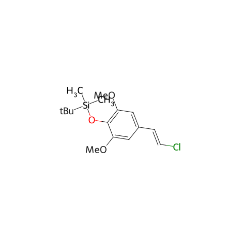 COc1cc(C=CCl)cc(OC)c1O[Si](C)(C)C(C)(C)C